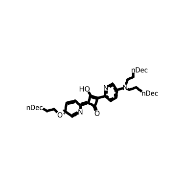 CCCCCCCCCCCC/[O+]=C1C=C/C(=C2/C(=O)C(c3ccc(N(CCCCCCCCCCCC)CCCCCCCCCCCC)cn3)=C2O)N=C\1